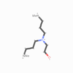 CNCCCN(CC[O])CCCNC